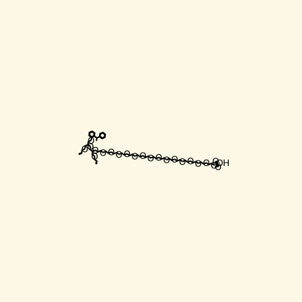 C=CCOCC(COc1ccccc1C(C)c1ccccc1)OCC(COCC=C)OCCOCCOCCOCCOCCOCCOCCOCCOCCOCCOCCOCCOCCOCCOCCOS(=O)(=O)O